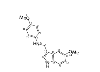 COc1ccc(NCc2c[nH]c3ccc(OC)cc23)cc1